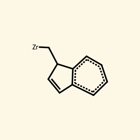 [Zr][CH2]C1C=Cc2ccccc21